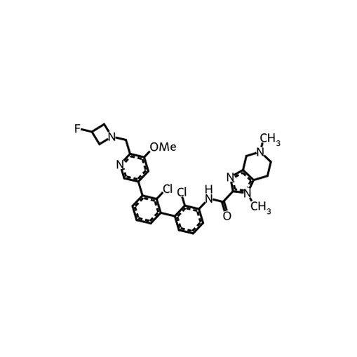 COc1cc(-c2cccc(-c3cccc(NC(=O)c4nc5c(n4C)CCN(C)C5)c3Cl)c2Cl)cnc1CN1CC(F)C1